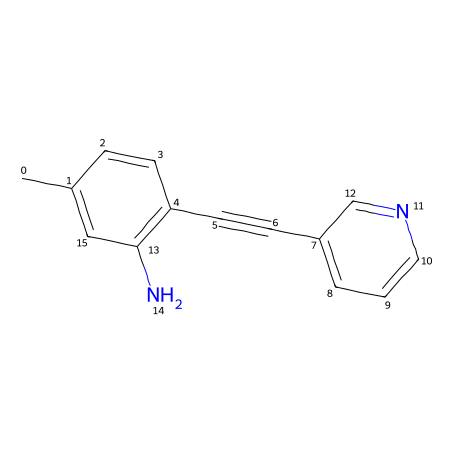 Cc1ccc(C#Cc2cccnc2)c(N)c1